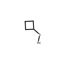 CC(=O)SC1C[CH]C1